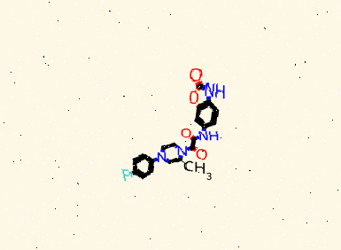 C[C@@H]1CN(c2ccc(F)cc2)CCN1C(=O)C(=O)Nc1ccc2[nH]c(=O)oc2c1